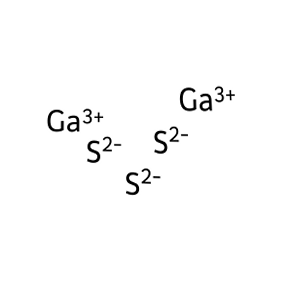 [Ga+3].[Ga+3].[S-2].[S-2].[S-2]